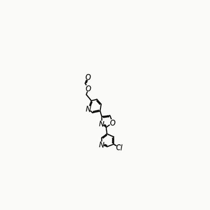 O=COCc1ccc(-c2coc(-c3cncc(Cl)c3)n2)cn1